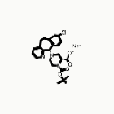 CC(C)(C)OC(=O)N1CCN([C@H]2c3ccc(Cl)cc3CCc3cccnc32)C[C@@H]1C(=O)[O-].[Na+]